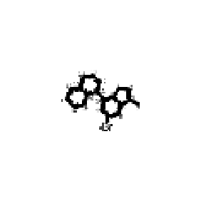 CC1=CCc2c1cc(Br)cc2-c1cccc2ccccc12